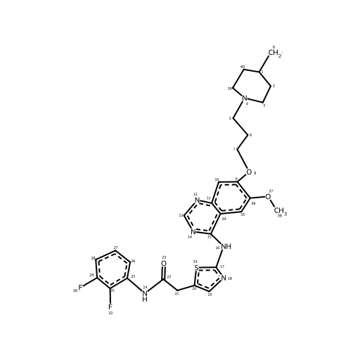 [CH2]C1CCN(CCCOc2cc3ncnc(Nc4ncc(CC(=O)Nc5cccc(F)c5F)s4)c3cc2OC)CC1